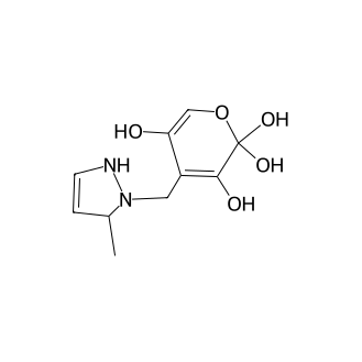 CC1C=CNN1CC1=C(O)C(O)(O)OC=C1O